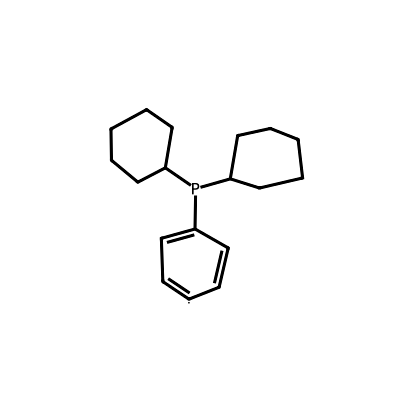 [c]1ccc(P(C2CCCCC2)C2CCCCC2)cc1